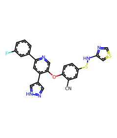 N#Cc1cc(SNc2cscn2)ccc1Oc1cnc(-c2cccc(F)c2)cc1-c1cn[nH]c1